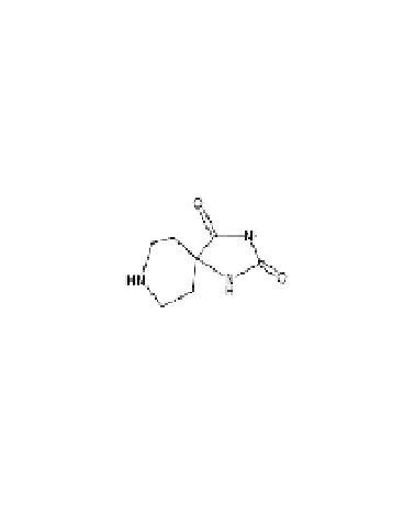 O=C1[N]C(=O)C2(CCNCC2)N1